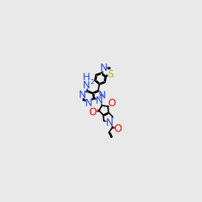 C=CC(=O)N1CC2=C(C1)C(=O)C(n1nc(-c3ccc4ncsc4c3)c3c(N)ncnc31)C2=O